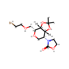 CC1(C)O[C@@H]2[C@H](O1)[C@H](N1CCOC1=O)CO[C@@H]2COCCBr